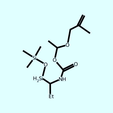 C=C(C)COC(C)OC(=O)NC(CC)[SiH2]O[Si](C)(C)C